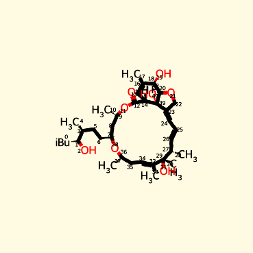 CC[C@@H](C)C(O)[C@@H](C)CC[C@H]1C[C@H](C)OC(=O)[C@@H]2C=C(C)[C@@H](O)[C@H]3OC/C(=C\C=C\[C@H](C)[C@](C)(O)/C(C)=C/C[C@H](C)O1)[C@]32O